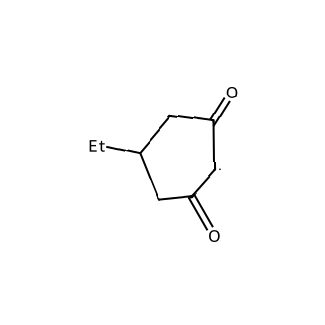 CCC1CC(=O)[CH]C(=O)C1